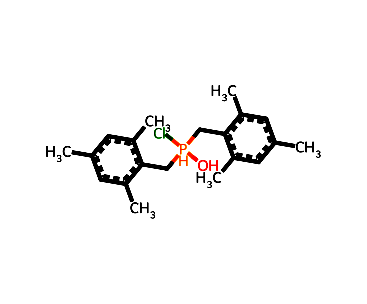 Cc1cc(C)c(C[PH](O)(Cl)Cc2c(C)cc(C)cc2C)c(C)c1